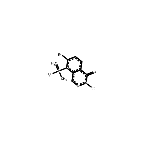 C=P(C)(C)c1c(C(C)C)ccc2c(=O)n(CC)ncc12